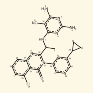 CC(Nc1nc(N)nc(N)c1C#N)c1nc2cccc(Cl)c2c(=O)n1-c1cncc(C2CC2)c1